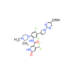 COc1cnc(N2CC=C(c3c(F)cc(N4CCN(C)[C@@H](C)C4)c(NC(=O)c4c[nH]c(=O)cc4C(F)F)c3F)C2)nc1